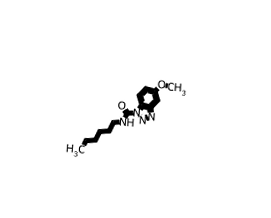 CCCCCCNC(=O)n1nnc2cc(OC)ccc21